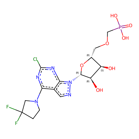 O=P(O)(O)COC[C@H]1O[C@@H](n2ncc3c(N4CCC(F)(F)C4)nc(Cl)nc32)[C@H](O)[C@@H]1O